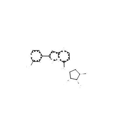 [CH2][C@@H]1C[C@@H](Nc2ccnc3cc(-c4ccnc(C(F)(F)F)c4)nn23)[C@H](O)[C@@H]1O